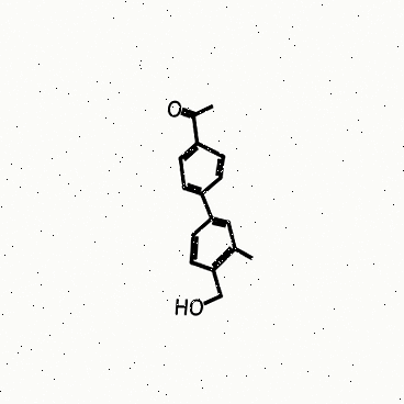 CC(=O)c1ccc(-c2ccc(CO)c(C)c2)cc1